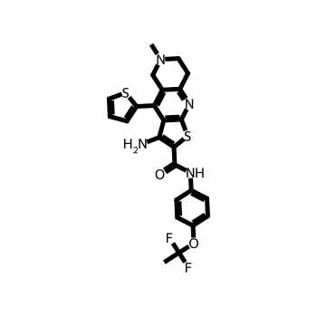 CN1CCc2nc3sc(C(=O)Nc4ccc(OC(C)(F)F)cc4)c(N)c3c(-c3cccs3)c2C1